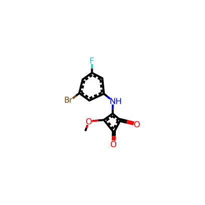 COc1c(Nc2cc(F)cc(Br)c2)c(=O)c1=O